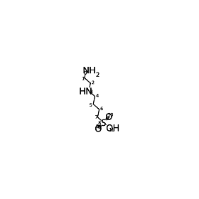 NCCNCCCCS(=O)(=O)O